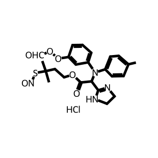 Cc1ccc(N(c2cccc(OOC=O)c2)C(C(=O)OCCC(C)(C)SN=O)C2=NCCN2)cc1.Cl